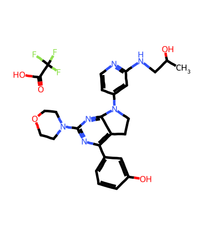 CC(O)CNc1cc(N2CCc3c(-c4cccc(O)c4)nc(N4CCOCC4)nc32)ccn1.O=C(O)C(F)(F)F